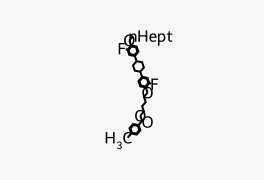 CCCCCCCOc1ccc(C2CCC(c3ccc(OCCCCOC(=O)c4ccc(C)cc4)c(F)c3)CC2)cc1F